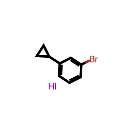 Brc1cccc(C2CC2)c1.I